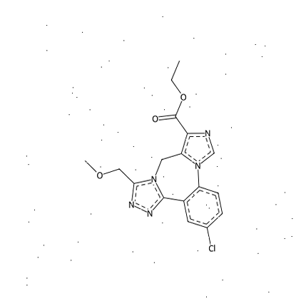 CCOC(=O)c1ncn2c1Cn1c(COC)nnc1-c1cc(Cl)ccc1-2